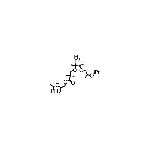 CC(C)OC(C)COC(=O)C(C)(P)OCC(C)(C)C(=O)OCC(C)OC(C)P